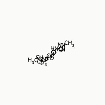 CCn1cnc2c(NC3CCN(C(=O)O[C@H]4CCN(C(=O)OC(C)(C)C)C4)CC3)ccnc21